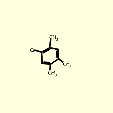 Cc1cc(C(F)(F)F)c(C)cc1Cl